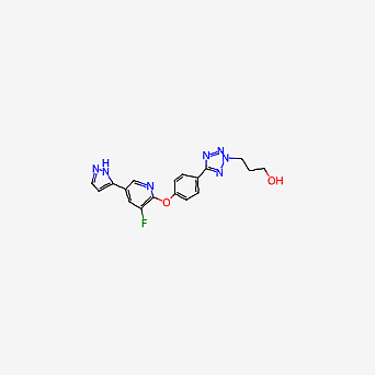 OCCCn1nnc(-c2ccc(Oc3ncc(-c4ccn[nH]4)cc3F)cc2)n1